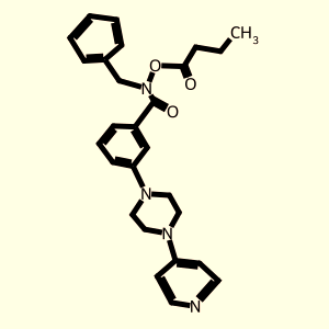 CCCC(=O)ON(Cc1ccccc1)C(=O)c1cccc(N2CCN(c3ccncc3)CC2)c1